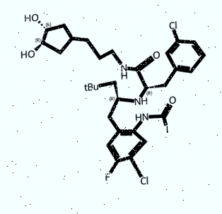 CC(C)(C)C[C@H](Cc1cc(F)c(Cl)cc1NC(=O)I)N[C@H](Cc1cccc(Cl)c1)C(=O)NCCCC1C[C@@H](O)[C@H](O)C1